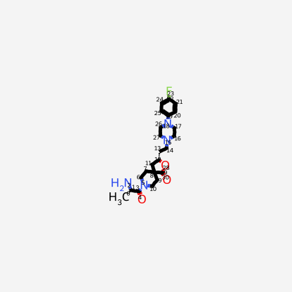 C[C@H](N)C(=O)N1CCC2(CC1)C[C@H](CCN1CCN(c3ccc(F)cc3)CC1)OC2=O